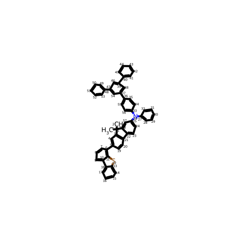 CC1(C)c2cc(-c3cccc4c3sc3ccccc34)ccc2-c2ccc(N(c3ccccc3)c3ccc(-c4cc(-c5ccccc5)cc(-c5ccccc5)c4)cc3)cc21